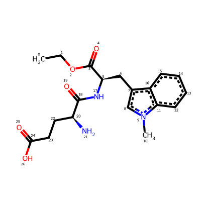 CCOC(=O)[C@@H](Cc1cn(C)c2ccccc12)NC(=O)[C@@H](N)CCC(=O)O